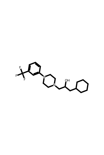 OC(CC1CCCCC1)CN1CCN(c2cccc(C(F)(F)F)c2)CC1